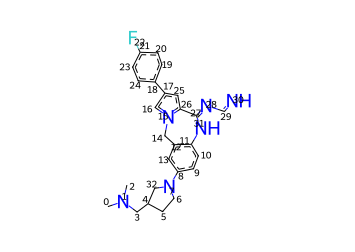 CN(C)CC1CCN(c2ccc3c(c2)Cn2cc(-c4ccc(F)cc4)cc2/C(=N/C=N)N3)C1